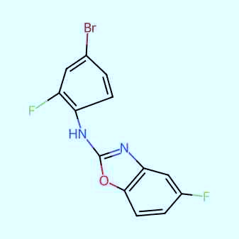 Fc1ccc2oc(Nc3ccc(Br)cc3F)nc2c1